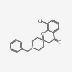 O=C1CC2(CCN(Cc3ccccc3)CC2)Oc2c(Cl)cccc21